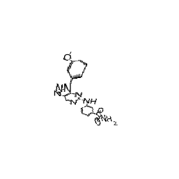 COc1cccc(-n2nnc3cnc(Nc4cccc(S(N)(=O)=O)c4)nc32)c1